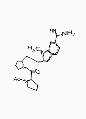 CC(=O)N1CCC[C@@H]1C(=O)N1CCC[C@H]1CCc1cc2ccc(C(=N)N)cc2n1C